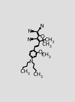 CCCCN(CCCC)c1ccc(C=CC2=C(C#N)C(=C(C#N)C#N)OC2(C)C)c(OC)c1